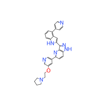 c1cc(-c2ccncc2)c2cc(-c3n[nH]c4ccc(-c5cncc(OCCN6CCCC6)c5)nc34)[nH]c2c1